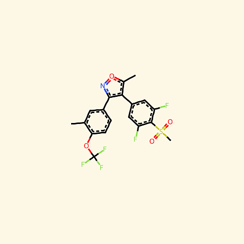 Cc1cc(-c2noc(C)c2-c2cc(F)c(S(C)(=O)=O)c(F)c2)ccc1OC(F)(F)F